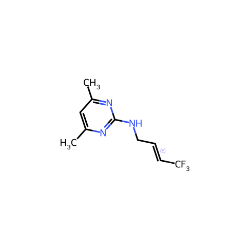 Cc1cc(C)nc(NC/C=C/C(F)(F)F)n1